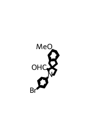 COc1ccc2c(c1)CC1(CCN(c3ccc(Br)cc3)C1C=O)C2